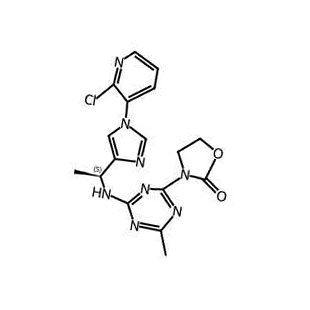 Cc1nc(N[C@@H](C)c2cn(-c3cccnc3Cl)cn2)nc(N2CCOC2=O)n1